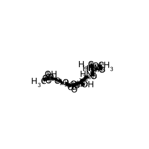 COP(=O)(O)OCCOCCOCCOP(=O)(O)OCC(CO)CCCCNC(=O)[C@H](CNC(C)=O)NC(C)=O